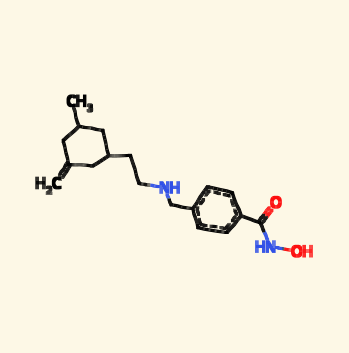 C=C1CC(C)CC(CCNCc2ccc(C(=O)NO)cc2)C1